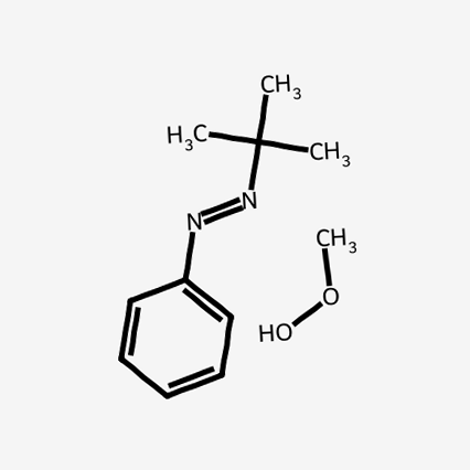 CC(C)(C)N=Nc1ccccc1.COO